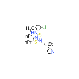 CCCC1SC(=NCCCC(CC)c2cccnc2)N(C(=S)Nc2cc(Cl)ccc2C)C1CCC